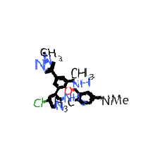 CNCc1ccc(C)c(C(=O)NC(C)c2cc(-c3cnn(C)c3)cc(-c3cc(Cl)cnc3N)c2)c1